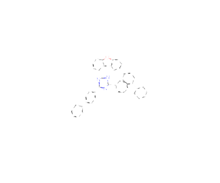 c1ccc(-c2ccc(-c3ccc4oc5cccc(-c6nc(-c7ccccc7)nc(-c7ccc(-c8ccccc8)cc7)n6)c5c4c3)cc2)cc1